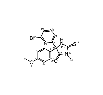 COc1ccc(C2(c3cncc(Br)c3)NC(=S)N(C)C2=O)cc1